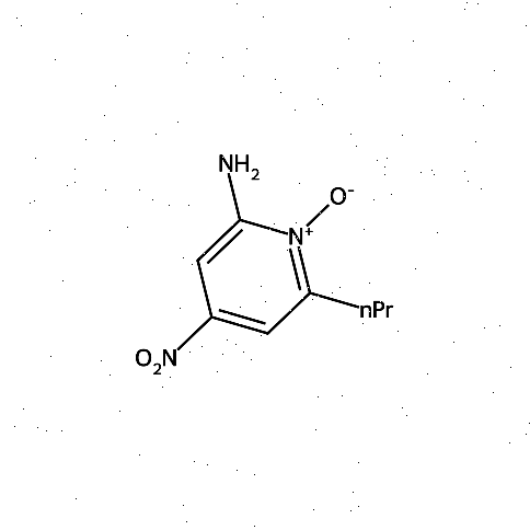 CCCc1cc([N+](=O)[O-])cc(N)[n+]1[O-]